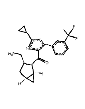 NC[C@@H]1C[C@@H]2C[C@@H]2N1C(=O)c1nc(C2CC2)sc1-c1cccc(C(F)(F)F)c1